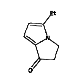 CCc1ccc2n1CCC2=O